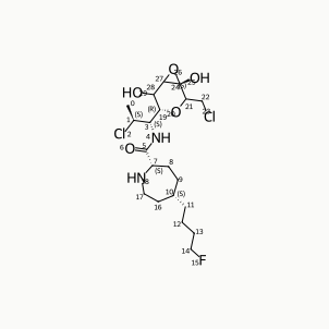 C[C@H](Cl)[C@@H](NC(=O)[C@@H]1CC[C@H](CCCCF)CCN1)[C@H]1OC(CCl)[C@@]2(O)OC2C1O